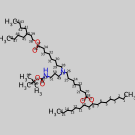 CCCCCCCCC(CCCCCCCC)OC(=O)CCCCCCCN(CCCCCCCC(=O)OCCC(CCCC)CCCC)CCCNC(=O)OC(C)(C)C